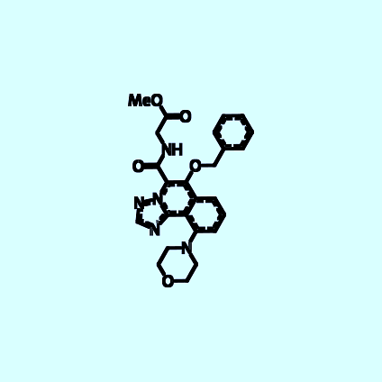 COC(=O)CNC(=O)c1c(OCc2ccccc2)c2cccc(N3CCOCC3)c2c2ncnn12